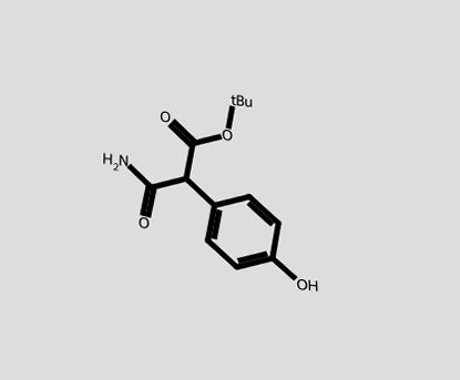 CC(C)(C)OC(=O)C(C(N)=O)c1ccc(O)cc1